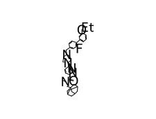 CCOc1cccc(-c2ccc(CN3CCN(c4ccc(C(=O)N(C)CC56CC7CC(CC(C7)C5)C6)nn4)CC3)cc2F)c1